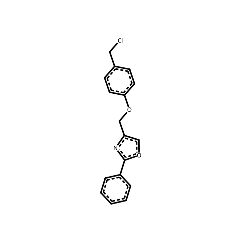 ClCc1ccc(OCc2coc(-c3ccccc3)n2)cc1